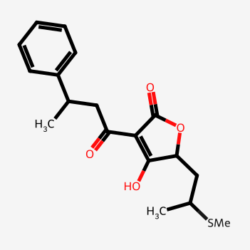 CSC(C)CC1OC(=O)C(C(=O)CC(C)c2ccccc2)=C1O